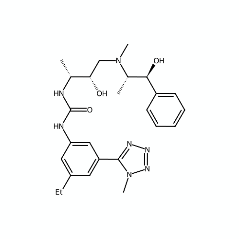 CCc1cc(NC(=O)N[C@H](C)[C@@H](O)CN(C)[C@@H](C)[C@@H](O)c2ccccc2)cc(-c2nnnn2C)c1